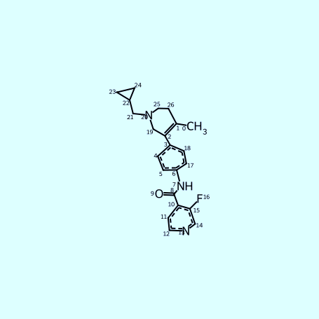 CC1=C(c2ccc(NC(=O)c3ccncc3F)cc2)CN(CC2CC2)CC1